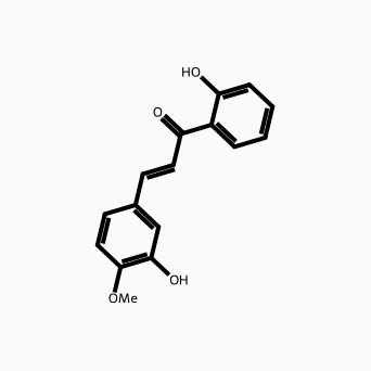 COc1ccc(C=CC(=O)c2ccccc2O)cc1O